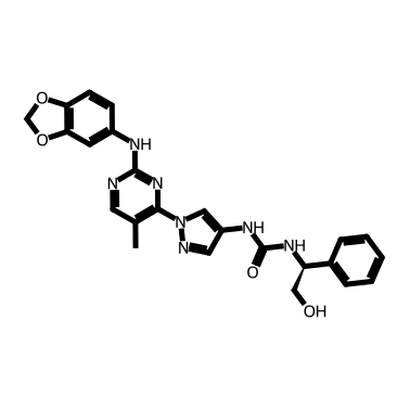 Cc1cnc(Nc2ccc3c(c2)OCO3)nc1-n1cc(NC(=O)N[C@H](CO)c2ccccc2)cn1